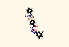 Cc1cc(-c2nnc(NC(=O)c3ccc(S(=O)(=O)N(Cc4ccccc4)C(C)C)cc3)o2)cc(C)c1C